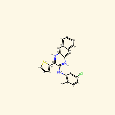 Cc1ccc(Cl)cc1Nc1nc2cc3ccccc3cc2nc1-c1cccs1